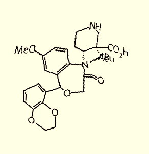 COc1ccc2c(c1)C(c1cccc3c1OCCO3)OCC(=O)[N+]2(CC(C)(C)C)[C@@H]1CCNC[C@@]1(C(C)=O)C(=O)O